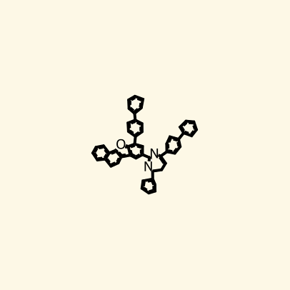 C1=C(c2ccc(-c3ccccc3)cc2)N=C(c2cc(-c3ccc(-c4ccccc4)cc3)c3oc4c5ccccc5ccc4c3c2)N=C(c2ccccc2)C1